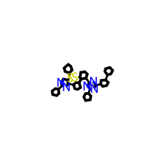 c1ccc(Sc2cnc(-c3ccccc3)nc2-c2cccc3c2sc2cccc(-c4nc(-c5ccccc5)nc(-c5cccc(-c6ccccc6)c5)n4)c23)cc1